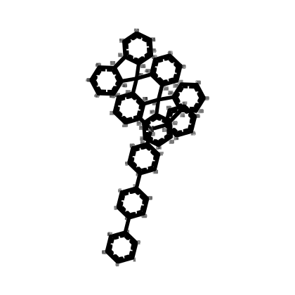 c1ccc(-c2ccc(-c3ccc(N(c4ccccc4)c4cccc5c4C4(c6ccccc6-c6ccccc64)c4ccccc4C54c5ccccc5-c5ccccc54)cc3)cc2)cc1